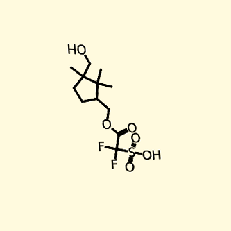 CC1(CO)CCC(COC(=O)C(F)(F)S(=O)(=O)O)C1(C)C